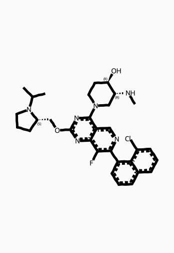 CN[C@@H]1CN(c2nc(OC[C@@H]3CCCN3C(C)C)nc3c(F)c(-c4cccc5cccc(Cl)c45)ncc23)CC[C@H]1O